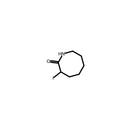 O=C1NCCCCCC1I